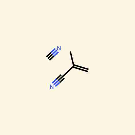 C#N.C=C(C)C#N